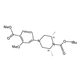 COC(=O)c1ccc(N2C[C@@H](C)N(C(=O)OC(C)(C)C)[C@@H](C)C2)cc1OC